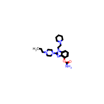 CCCN1CCN(c2nc3c(OC(N)=O)cccc3n2CCN2CCCCC2)CC1